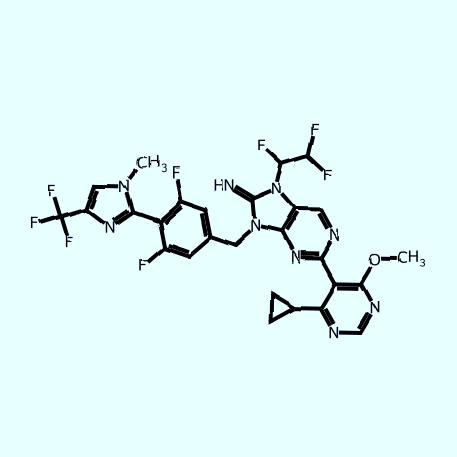 COc1ncnc(C2CC2)c1-c1ncc2c(n1)n(Cc1cc(F)c(-c3nc(C(F)(F)F)cn3C)c(F)c1)c(=N)n2C(F)C(F)F